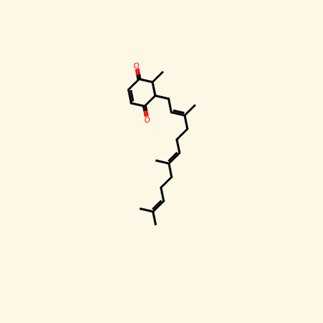 CC(C)=CCC/C(C)=C/CC/C(C)=C/CC1C(=O)C=CC(=O)C1C